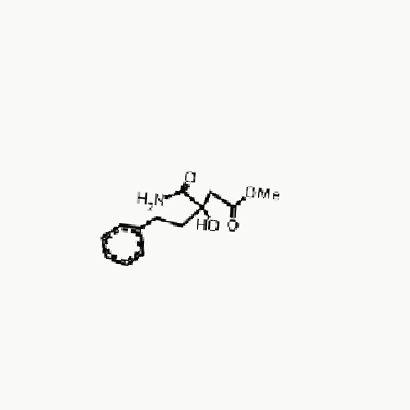 COC(=O)CC(O)(CCc1ccccc1)C(N)=O